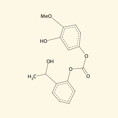 COc1ccc(OC(=O)Oc2ccccc2C(C)O)cc1O